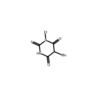 CCC(C)C1C(=O)NC(=S)N(CC)C1=O